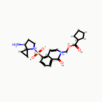 N[C@H]1CCN(S(=O)(=O)c2cccc3c(=O)n(COC(=O)C4CCCC4)ccc23)C12CC2